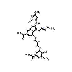 CCn1nc(C)cc1Nc1nc2cc(C(N)=O)cc(OCCCOc3cc(C(=O)OC)cc([N+](=O)[O-])c3Cl)c2n1C/C=C/CN